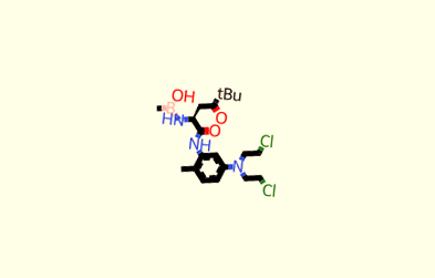 CB(O)N[C@@H](CC(=O)C(C)(C)C)C(=O)Nc1cc(N(CCCl)CCCl)ccc1C